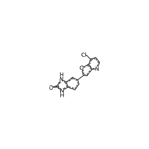 O=c1[nH]c2ccc(-c3cc4nccc(Cl)c4o3)cc2[nH]1